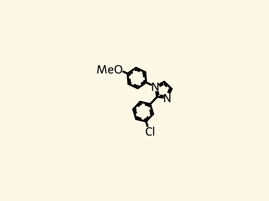 COc1ccc(-n2ccnc2-c2cccc(Cl)c2)cc1